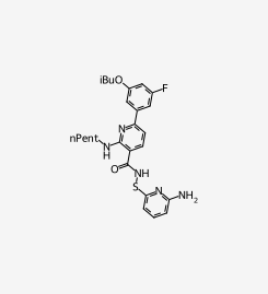 CCCCCNc1nc(-c2cc(F)cc(OCC(C)C)c2)ccc1C(=O)NSc1cccc(N)n1